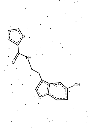 O=C(NCCc1coc2ccc(O)cc12)c1ccco1